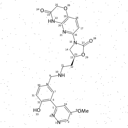 COc1cnnc(-c2cc(CNCC[C@H]3CN(c4ccc5c(n4)NC(=O)CO5)C(=O)O3)ccc2O)c1